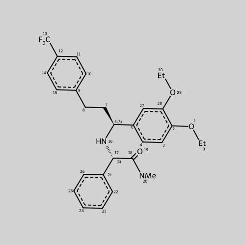 CCOc1ccc([C@H](CCc2ccc(C(F)(F)F)cc2)N[C@H](C(=O)NC)c2ccccc2)cc1OCC